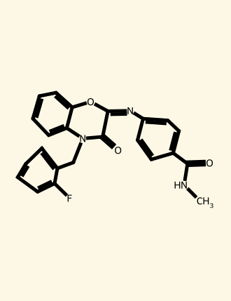 CNC(=O)c1ccc(/N=c2/oc3ccccc3n(Cc3ccccc3F)c2=O)cc1